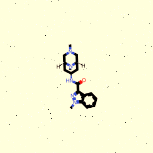 CN1C[C@H]2C[C@@H](NC(=O)c3nn(C)c4ccccc34)C[C@@H](C1)N2C